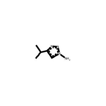 CC(C)c1cn(N)nn1